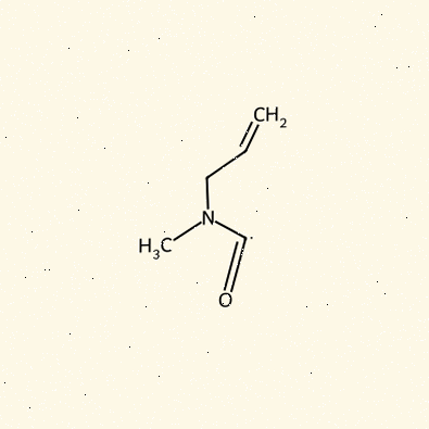 C=CCN(C)[C]=O